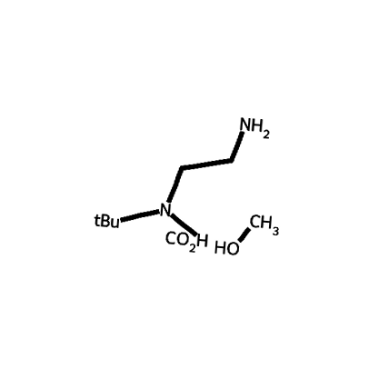 CC(C)(C)N(CCN)C(=O)O.CO